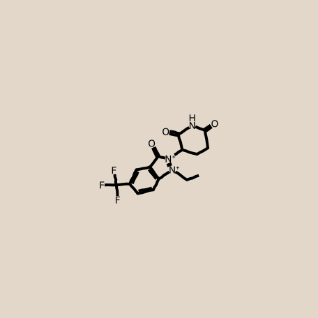 CC[N+]1=[N+](C2CCC(=O)NC2=O)C(=O)c2cc(C(F)(F)F)ccc21